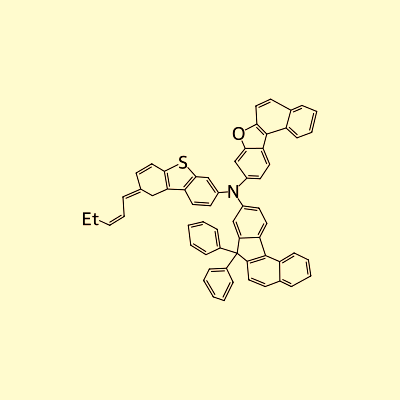 CC/C=C\C=C1\C=Cc2sc3cc(N(c4ccc5c(c4)C(c4ccccc4)(c4ccccc4)c4ccc6ccccc6c4-5)c4ccc5c(c4)oc4ccc6ccccc6c45)ccc3c2C1